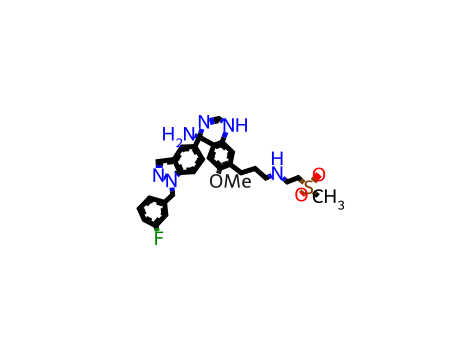 COc1cc2c(cc1CCCNCCS(C)(=O)=O)NC=NC2(N)c1ccc2c(cnn2Cc2cccc(F)c2)c1